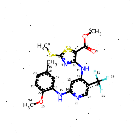 COC(=O)c1sc(SC)nc1Nc1cc(Nc2cc(C)ccc2OC)ncc1C(F)(F)F